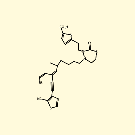 CC/C=C\C(C#Cc1ccsc1C#N)=C/C(C)CCCCN1CCSC(=O)N1CCc1ccc(C(=O)O)s1